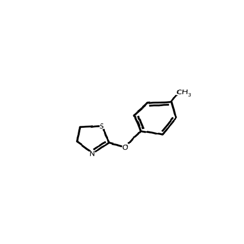 Cc1ccc(OC2=NCCS2)cc1